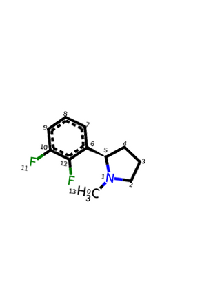 CN1CCC[C@@H]1c1cccc(F)c1F